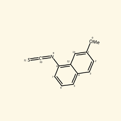 COc1ccc2cccc(N=C=S)c2c1